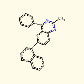 Cc1nc(-c2ccccc2)c2cc(-c3cccc4ccccc34)ccc2n1